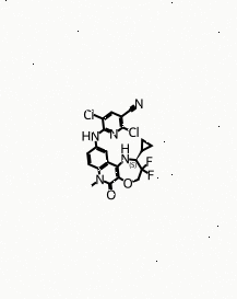 Cn1c(=O)c2c(c3cc(Nc4nc(Cl)c(C#N)cc4Cl)ccc31)N[C@@H](C1CC1)C(F)(F)CO2